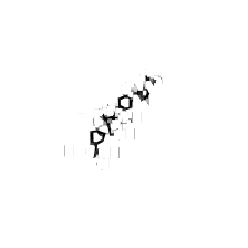 CCC(C)(C)c1ccc(OC(C)(C(=O)Nc2cc(O)c(-n3ncc([N+](=O)[O-])n3)cc2O)C(C)(C)CC)cc1